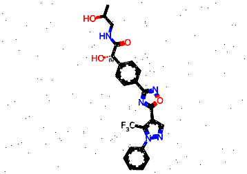 CC(O)CNC(=O)[C@@H](O)c1ccc(-c2noc(-c3cnn(-c4ccccc4)c3C(F)(F)F)n2)cc1